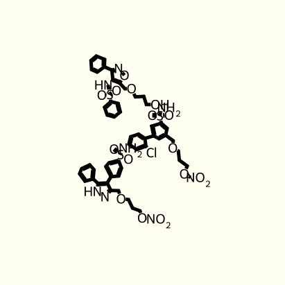 NS(=O)(=O)c1cc(COCCCO[N+](=O)[O-])cc(-c2ccccc2Cl)c1.NS(=O)(=O)c1ccc(-c2c(COCCCO[N+](=O)[O-])n[nH]c2-c2ccccc2)cc1.O=S(=O)(Nc1c(-c2ccccc2)noc1COCCCO)c1ccccc1